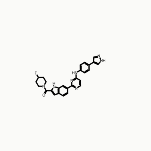 O=C(c1cc2ccc(-c3nccc(Nc4ccc(-c5cn[nH]c5)cc4)n3)cc2[nH]1)N1CCC(F)CC1